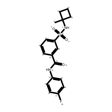 CC1(NS(=O)(=O)c2cccc(C(=O)Nc3ccc(F)cc3)c2)CCC1